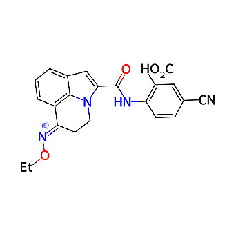 CCO/N=C1\CCn2c(C(=O)Nc3ccc(C#N)cc3C(=O)O)cc3cccc1c32